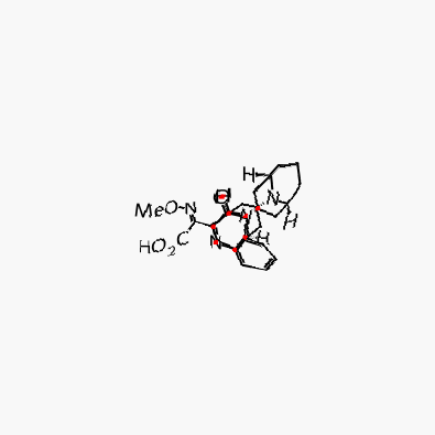 CO/N=C(\C(=O)O)c1nc2ccccc2n([C@H]2C[C@H]3CCC[C@@H](C2)N3[C@H]2C[C@@H]3CCC[C@@H](C3)C2)c1=O